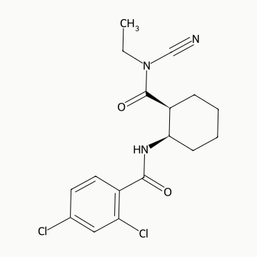 CCN(C#N)C(=O)[C@H]1CCCC[C@H]1NC(=O)c1ccc(Cl)cc1Cl